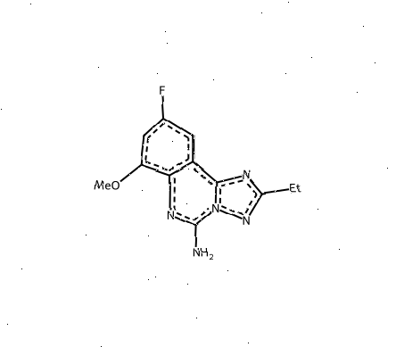 CCc1nc2c3cc(F)cc(OC)c3nc(N)n2n1